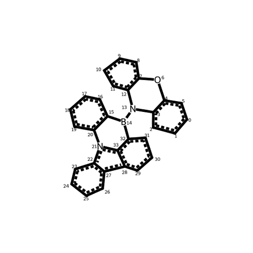 c1ccc2c(c1)Oc1ccccc1N2B1c2ccccc2-n2c3ccccc3c3cccc1c32